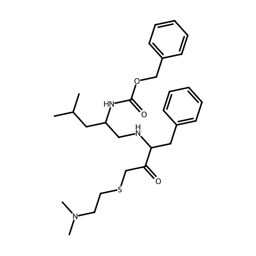 CC(C)CC(CNC(Cc1ccccc1)C(=O)CSCCN(C)C)NC(=O)OCc1ccccc1